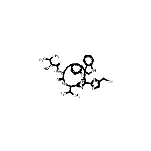 CC(C)C1NC(=O)[C@@H](NC(=O)[C@@H](O)C(C)C)Cc2ccc(O)c(c2)C2(CNc3ccccc32)c2oc1nc2-c1nc(CO)co1